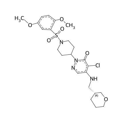 COc1ccc(OC)c(S(=O)(=O)N2CCC(n3ncc(NC[C@H]4CCCOC4)c(Cl)c3=O)CC2)c1